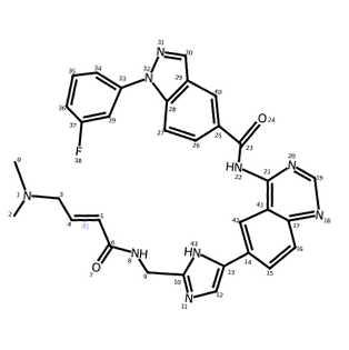 CN(C)C/C=C/C(=O)NCc1ncc(-c2ccc3ncnc(NC(=O)c4ccc5c(cnn5-c5cccc(F)c5)c4)c3c2)[nH]1